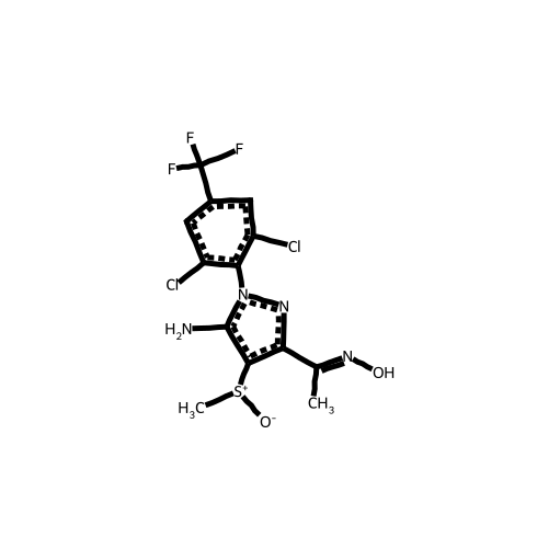 CC(=NO)c1nn(-c2c(Cl)cc(C(F)(F)F)cc2Cl)c(N)c1[S+](C)[O-]